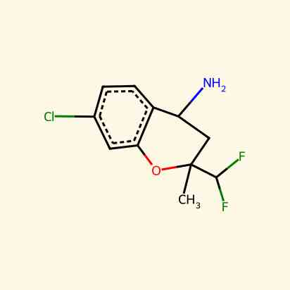 CC1(C(F)F)CC(N)c2ccc(Cl)cc2O1